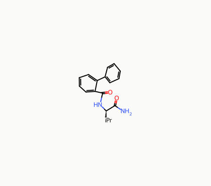 CC(C)[C@@H](NC(=O)c1ccccc1-c1ccccc1)C(N)=O